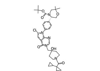 CC(C)(C)OC(=O)N1CC(C)(C)OC[C@@H]1c1ccc(-n2c(Cl)cc3c(=O)n(CC4(O)CCN(C(=O)C5(C6CC6)CC5)CC4)cnc32)cc1